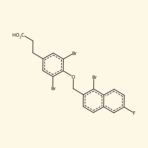 O=C(O)CCc1cc(Br)c(OCc2ccc3cc(F)ccc3c2Br)c(Br)c1